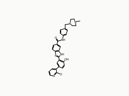 CN1CCN(Cc2ccc(NC(=O)c3ccc4nc(-c5cc(-c6cccnc6Cl)ccc5O)[nH]c4c3)cc2)CC1